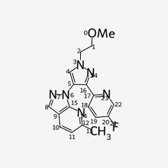 COCCn1cc(-n2ncc3ccc(C)nc32)c(-c2ccc(F)cn2)n1